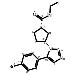 CCNC(=O)[C@H]1CC[C@@H](n2nncc2-c2ccc(Br)cc2)C1